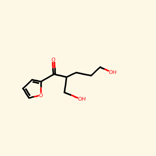 O=C(c1ccco1)C(CO)CCCO